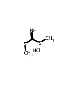 CSC(=N)SC.Cl